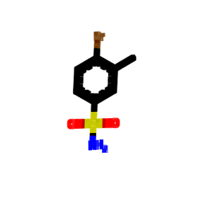 Cc1cc(S(N)(=O)=O)ccc1Br